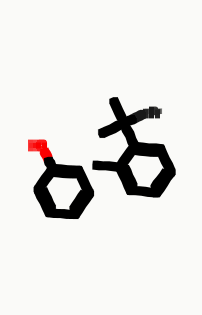 CCCC(C)(C)c1ccccc1C.Oc1ccccc1